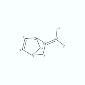 CC(C)=C1CC2C=CC1C2